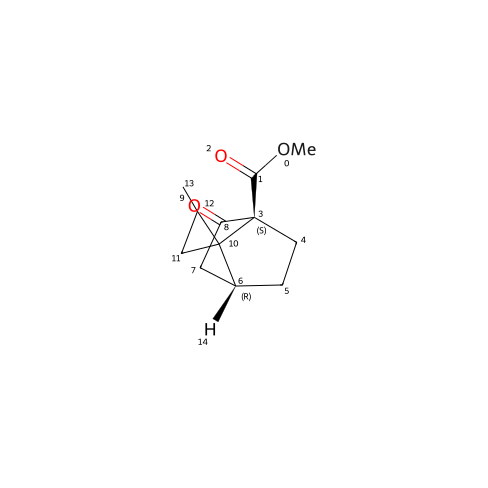 COC(=O)[C@]12CC[C@H](CC1=O)C21CC1C